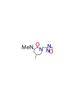 CNC1CC(C)CCN(Cc2ncon2)C1=O